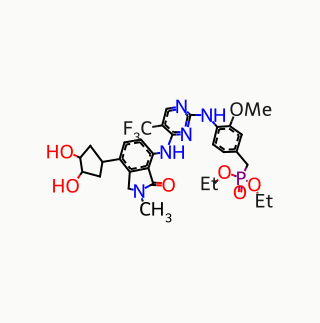 CCOP(=O)(Cc1ccc(Nc2ncc(C(F)(F)F)c(Nc3ccc(C4CC(O)C(O)C4)c4c3C(=O)N(C)C4)n2)c(OC)c1)OCC